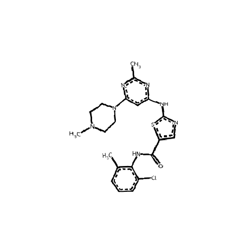 Cc1nc(Nc2ncc(C(=O)Nc3c(C)cccc3Cl)s2)cc(N2CCN(C)CC2)n1